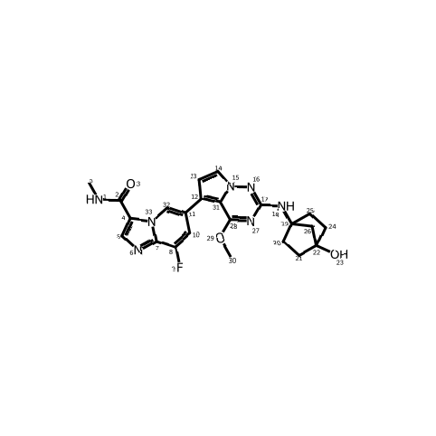 CNC(=O)c1cnc2c(F)cc(-c3ccn4nc(NC56CCC(O)(CC5)C6)nc(OC)c34)cn12